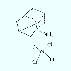 NC12CC3CC(CC(C3)C1)C2.[Cl][W]([Cl])([Cl])[Cl]